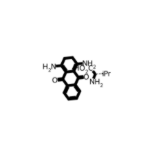 CC(C)[C@H](N)C(=O)O.NC1=C2C(=O)c3ccccc3C(=O)C2=C(N)CC1